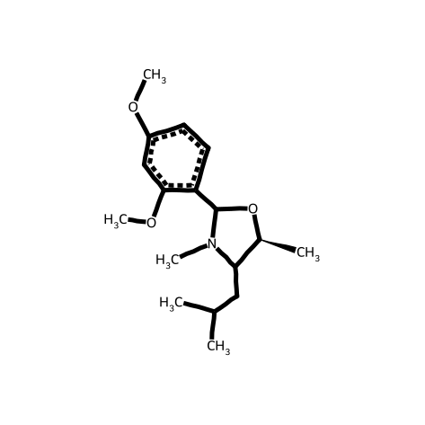 COc1ccc(C2O[C@@H](C)C(CC(C)C)N2C)c(OC)c1